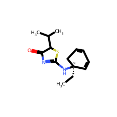 CC[C@@]1(NC2=NC(=O)C(C(C)C)S2)C=CC=CC1